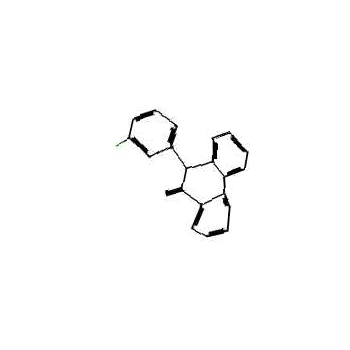 C=C1c2ccccc2-c2ccccc2C1c1cccc(Br)c1